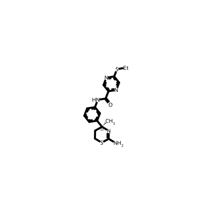 CCSc1cnc(C(=O)Nc2cccc([C@]3(C)CCSC(N)=N3)c2)cn1